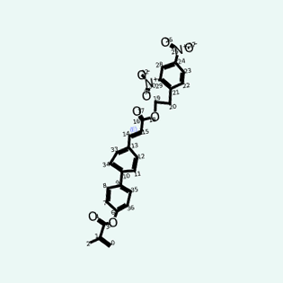 C=C(C)C(=O)Oc1ccc(-c2ccc(/C=C/C(=O)OCCc3ccc([N+](=O)[O-])cc3[N+](=O)[O-])cc2)cc1